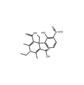 CCN1C(C)=C(C(=O)O)C(CC)(c2cccc([N+](=O)[O-])c2O)C(C(=O)O)=C1C